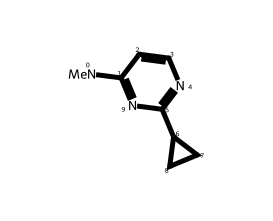 CNc1ccnc(C2CC2)n1